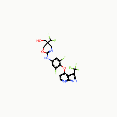 OCC1(C(F)F)CN=C(Nc2cc(F)c(Oc3ccnc4[nH]cc(C(F)(F)F)c34)c(F)c2)OC1